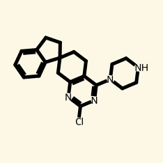 Clc1nc2c(c(N3CCNCC3)n1)CCC1(CCc3ccccc31)C2